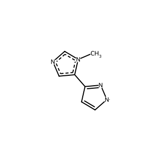 Cn1cncc1C1=N[N]C=C1